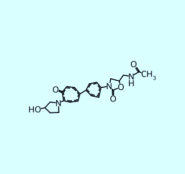 CC(=O)NCC1CN(c2ccc(-c3ccc(N4CCC(O)C4)c(=O)cc3)cc2)C(=O)O1